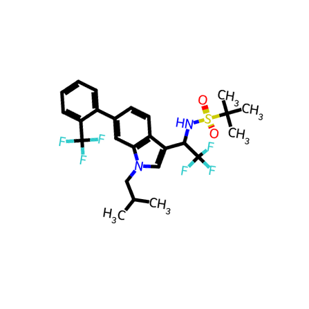 CC(C)Cn1cc(C(NS(=O)(=O)C(C)(C)C)C(F)(F)F)c2ccc(-c3ccccc3C(F)(F)F)cc21